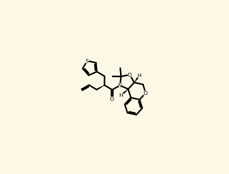 C=CC[C@@H](Cc1ccsc1)C(=O)N1[C@H]2c3ccccc3OC[C@H]2OC1(C)C